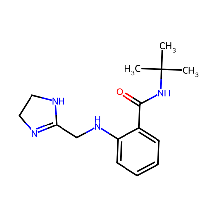 CC(C)(C)NC(=O)c1ccccc1NCC1=NCCN1